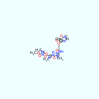 CCOC(=O)c1nc(OC(=O)c2cc(NC(=O)c3nc(NC(=O)CCCOc4cc5c(cc4OC)C(=O)N4CCC[C@H]4C=N5)cn3C)cn2C)cn1C